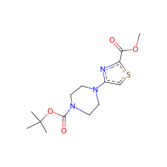 COC(=O)c1nc(N2CCN(C(=O)OC(C)(C)C)CC2)cs1